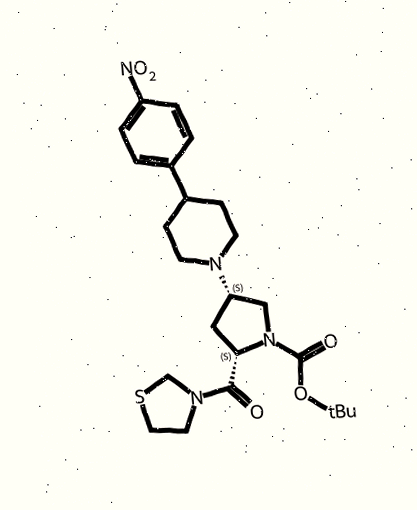 CC(C)(C)OC(=O)N1C[C@@H](N2CCC(c3ccc([N+](=O)[O-])cc3)CC2)C[C@H]1C(=O)N1CCSC1